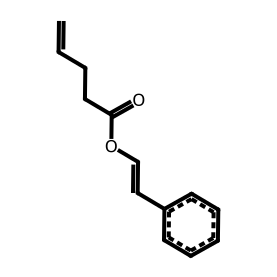 C=CCCC(=O)OC=Cc1ccccc1